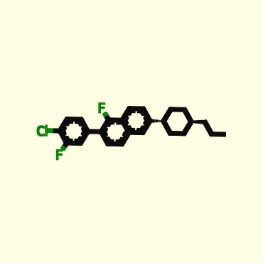 CCC[C@H]1CC[C@H](c2ccc3c(F)c(-c4ccc(Cl)c(F)c4)ccc3c2)CC1